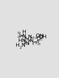 NC1=Nc2c(ncn2/C=C2/CC2(CO)CO)C(NC2CC2)N1